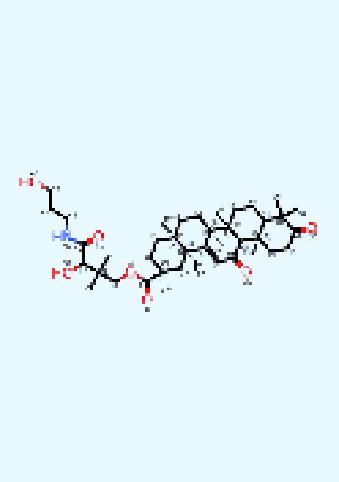 CC(C)(COC(=O)[C@@]1(C)CC[C@]2(C)CC[C@]3(C)C(=CC(=O)C4[C@@]5(C)CCC(=O)C(C)(C)C5CC[C@]43C)[C@H]2C1)C(O)C(=O)NCCCO